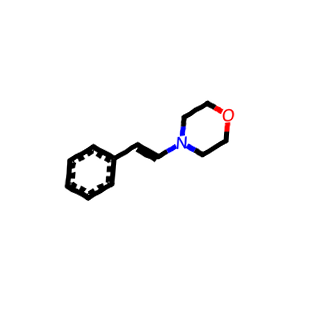 C(=CN1CCOCC1)c1ccccc1